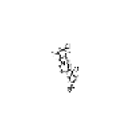 O=Nc1ccc(C(=O)N2CCCN(Cc3ccc(Cl)cc3Cl)CC2)cc1